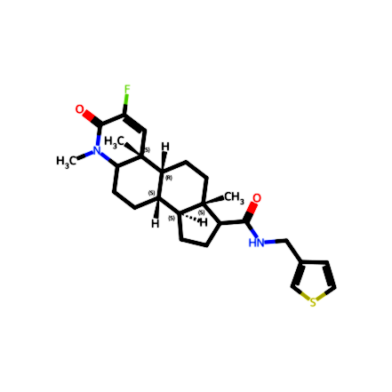 CN1C(=O)C(F)=C[C@@]2(C)C1CC[C@@H]1[C@H]2CC[C@]2(C)C(C(=O)NCc3ccsc3)CC[C@@H]12